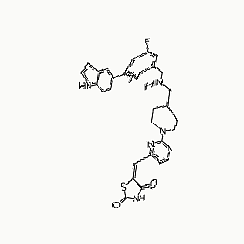 O=C1NC(=O)/C(=C\c2ccnc(N3CCC(CNCc4cc(F)cc(-c5ccc6[nH]ccc6c5)n4)CC3)n2)S1